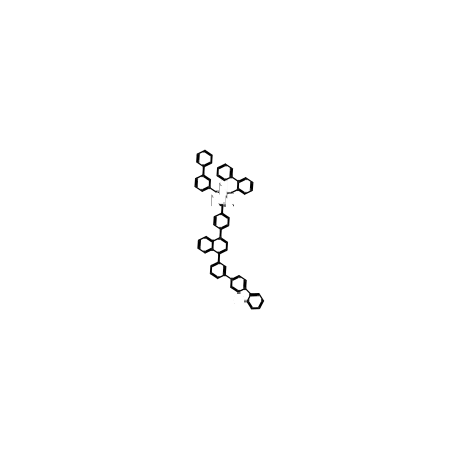 c1ccc(-c2cccc(-c3nc(-c4ccc(-c5ccc(-c6cccc(-c7ccc8c(c7)oc7ccccc78)c6)c6ccccc56)cc4)nc(-c4ccccc4-c4ccccc4)n3)c2)cc1